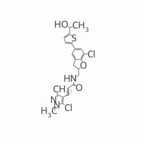 Cc1nn(C)c(Cl)c1/C=C/C(=O)NCC1Cc2cc(-c3ccc(C(C)O)s3)cc(Cl)c2O1